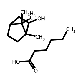 CC1(C)C2CCC1(C)C(O)C2.CCCCCC(=O)O